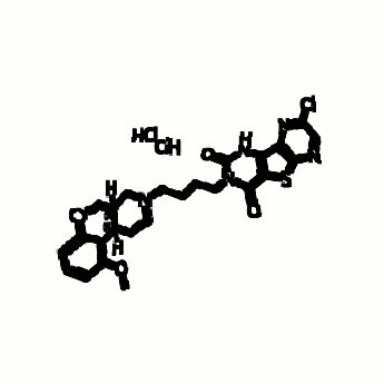 COc1cccc2c1[C@@H]1CCN(CCCCn3c(=O)[nH]c4c(sc5ncc(Cl)nc54)c3=O)C[C@H]1CO2.Cl.Cl